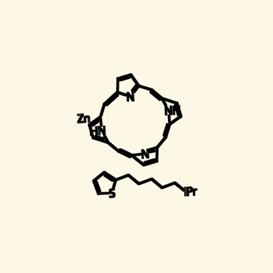 C1=Cc2cc3ccc(cc4nc(cc5ccc(cc1n2)[nH]5)C=C4)[nH]3.CC(C)CCCCCc1cccs1.[Zn]